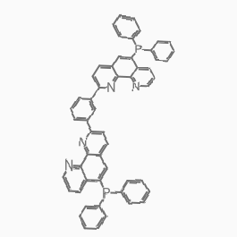 c1ccc(P(c2ccccc2)c2cc3ccc(-c4cccc(-c5ccc6cc(P(c7ccccc7)c7ccccc7)c7cccnc7c6n5)c4)nc3c3ncccc23)cc1